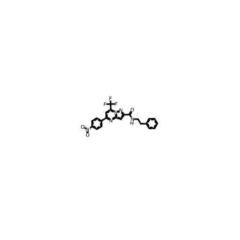 O=C(NCCc1ccccc1)c1cc2nc(-c3ccc([N+](=O)[O-])cc3)cc(C(F)(F)F)n2n1